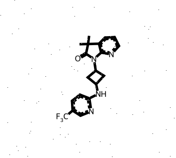 CC1(C)C(=O)N(C2CC(Nc3ccc(C(F)(F)F)cn3)C2)c2ncccc21